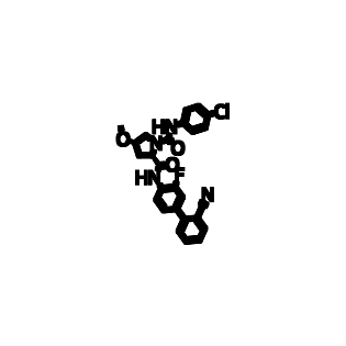 CO[C@@H]1C[C@H](C(=O)Nc2ccc(-c3ccccc3C#N)cc2F)N(C(=O)Nc2ccc(Cl)cc2)C1